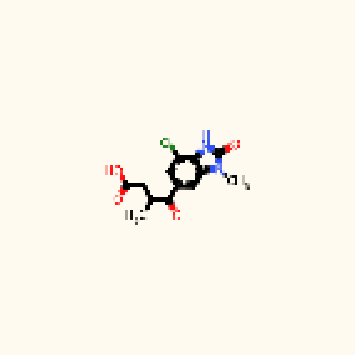 CC(CC(=O)O)C(=O)c1cc(Cl)c2[nH]c(=O)n(C)c2c1